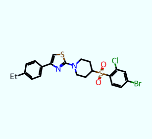 CCc1ccc(-c2csc(N3CCC(S(=O)(=O)c4ccc(Br)cc4Cl)CC3)n2)cc1